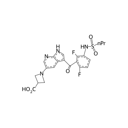 CCCS(=O)(=O)Nc1ccc(F)c(C(=O)c2c[nH]c3ncc(N4CC(C(=O)O)C4)cc23)c1F